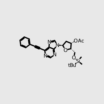 CC(=O)O[C@H]1C[C@H](n2cnc3c(C#Cc4ccccc4)ncnc32)O[C@H]1CO[Si](C)(C)C(C)(C)C